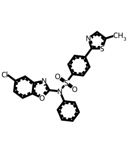 Cc1cnc(-c2ccc(S(=O)(=O)N(c3ccccc3)c3nc4cc(Cl)ccc4o3)cc2)s1